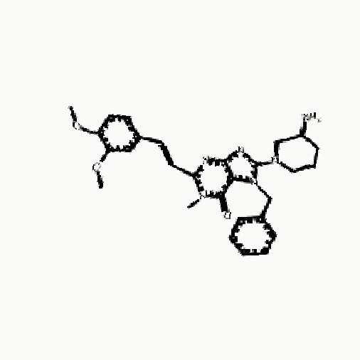 COc1ccc(C=Cc2nc3nc(N4CCCC(N)C4)n(Cc4ccccc4)c3c(=O)n2C)cc1OC